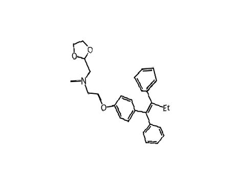 CC/C(=C(\c1ccccc1)c1ccc(OCCN(C)CC2OCCO2)cc1)c1ccccc1